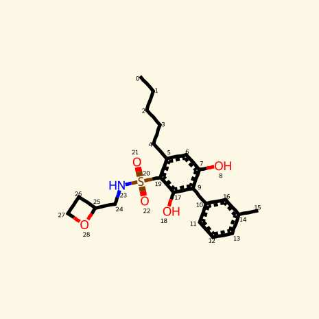 CCCCCc1cc(O)c(-c2cccc(C)c2)c(O)c1S(=O)(=O)NCC1CCO1